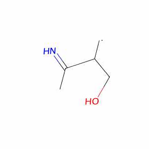 [CH2]C(CO)C(C)=N